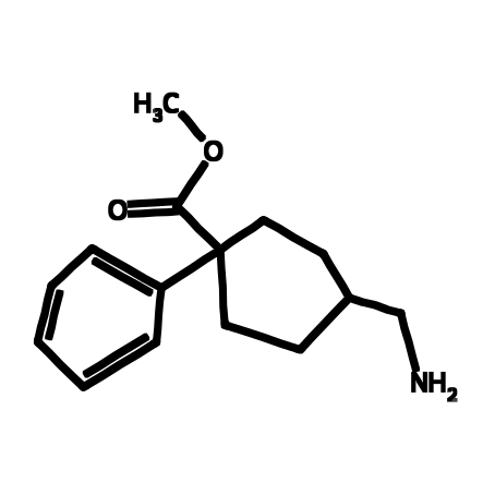 COC(=O)C1(c2ccccc2)CCC(CN)CC1